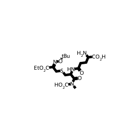 CCOC(=O)C(CSCC(NC(=O)CCC(N)C(=O)O)C(=O)N(C)C(=O)O)=NOC(C)(C)C